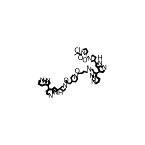 C[C@@H](Cl)C(=O)N1CCC[C@@H]1C(=O)N1CCC(c2cc3c(-c4c(CN(C)C/C=C/C(=O)N5CCC(CC(=O)N6CCC(c7cc8c(-c9cnn%10ncccc9%10)ccnc8[nH]7)C6)CC5)nn5ncccc45)ccnc3[nH]2)C1